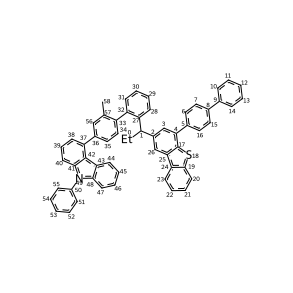 CCC(c1cc(-c2ccc(-c3ccccc3)cc2)c2sc3ccccc3c2c1)c1ccccc1-c1ccc(-c2cccc3c2c2ccccc2n3-c2ccccc2)cc1C